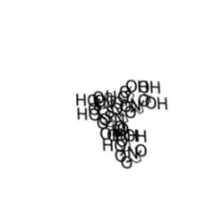 O=C(O)C(C(SSC(C(C(=O)O)S(=O)(=O)O)N1C(=O)CCC1=O)N1C(=O)CCC1=O)S(=O)(=O)O.O=C(O)CC(C(=O)O)N1C(=O)CCC1=O.O=C(O)CC(C(=O)O)N1C(=O)CCC1=O.OCCO